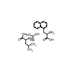 CC(C)CC(N)C(=O)O.NC(Cc1cccc2ccccc12)C(=O)O.OB(O)O